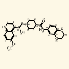 COc1ccc2nccc([C@@H](O)CN3CCC(C(=O)Nc4ccc5c(c4)OCCO5)CC3)c2c1